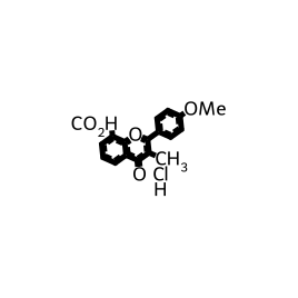 COc1ccc(-c2oc3c(C(=O)O)cccc3c(=O)c2C)cc1.Cl